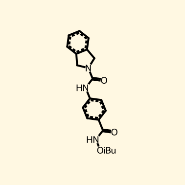 CC(C)CONC(=O)c1ccc(NC(=O)N2Cc3ccccc3C2)cc1